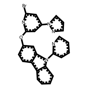 Brc1cc(-n2cccn2)cc(Oc2ccc3c4ccccc4n(-c4ccccn4)c3c2)n1